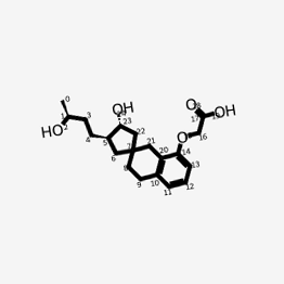 C[C@H](O)CC[C@@H]1CC2(CCc3cccc(OCC(=O)O)c3C2)C[C@H]1O